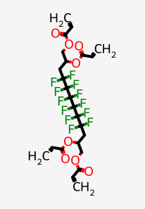 C=CC(=O)OCC(CC(F)(F)C(F)(F)C(F)(F)C(F)(F)C(F)(F)C(F)(F)CC(COC(=O)C=C)OC(=O)C=C)OC(=O)C=C